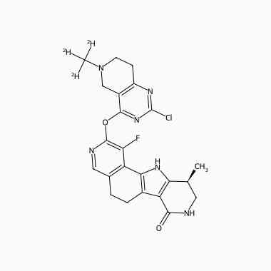 [2H]C([2H])([2H])N1CCc2nc(Cl)nc(Oc3ncc4c(c3F)-c3[nH]c5c(c3CC4)C(=O)NC[C@@H]5C)c2C1